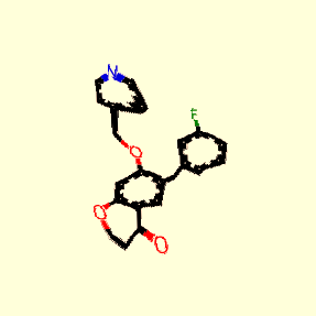 O=C1CCOc2cc(OCc3ccncc3)c(-c3cccc(F)c3)cc21